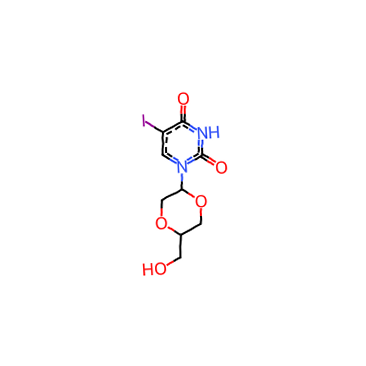 O=c1[nH]c(=O)n(C2COC(CO)CO2)cc1I